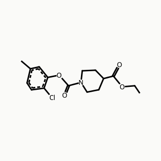 CCOC(=O)C1CCN(C(=O)Oc2cc(C)ccc2Cl)CC1